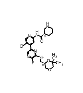 CC1(C)COC[C@@H](CNc2nc(-c3cc(NC(=O)[C@@H]4CCCNC4)ncc3Cl)cnc2F)O1